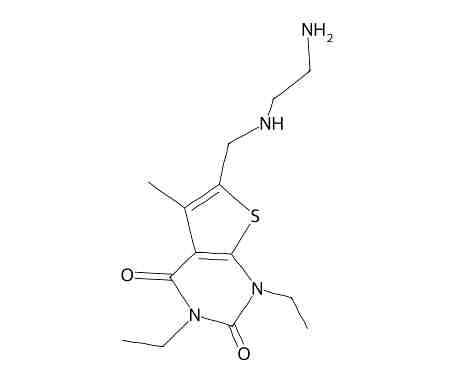 CCn1c(=O)c2c(C)c(CNCCN)sc2n(CC)c1=O